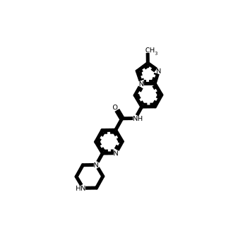 Cc1cn2cc(NC(=O)c3ccc(N4CCNCC4)nc3)ccc2n1